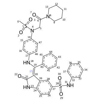 CS(=O)(=O)N(CC(=O)N1CCCCC1)c1ccc(N/C(=C2\C(=O)Nc3ccc(S(=O)(=O)Nc4ccccc4)cc32)c2ccccc2)cc1